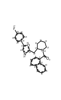 O=C(c1cccc2ccccc12)N1CCCCC1Cc1ncc(-c2ccc(F)cc2)o1